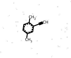 C#Cc1cc(C)ccc1[CH2]